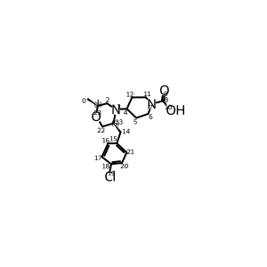 C[C@H]1CN(C2CCN(C(=O)O)CC2)[C@@H](Cc2ccc(Cl)cc2)CO1